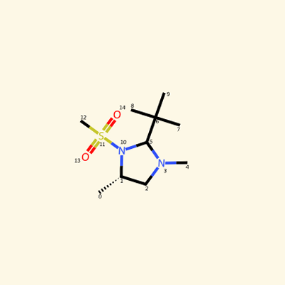 C[C@H]1CN(C)C(C(C)(C)C)N1S(C)(=O)=O